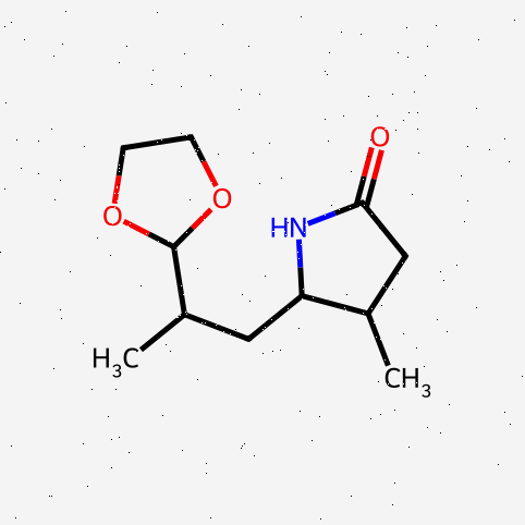 CC1CC(=O)NC1CC(C)C1OCCO1